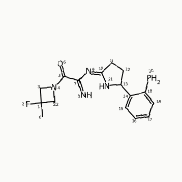 CC1(F)CN(C(=O)C(=N)/N=C2/CCC(c3ccccc3P)N2)C1